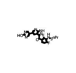 CCCSNc1c(F)ccc(C(=O)c2n[nH]c3ncc(-c4cnc(O)nc4)cc23)c1F